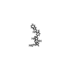 Cc1cc(Nc2cc(-c3ccc(F)c(NCc4cc5ccccc5s4)c3)n[nH]c2=O)nn1CCO